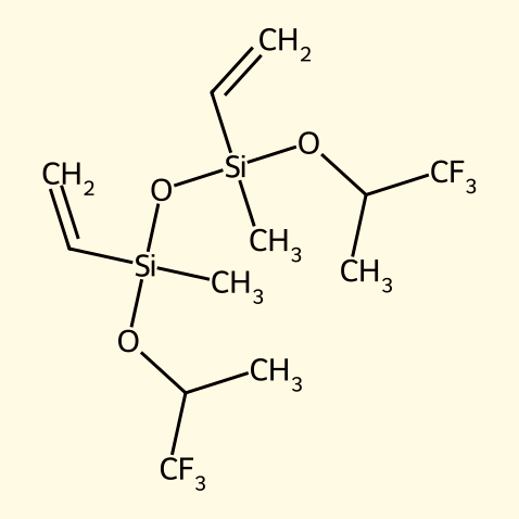 C=C[Si](C)(OC(C)C(F)(F)F)O[Si](C)(C=C)OC(C)C(F)(F)F